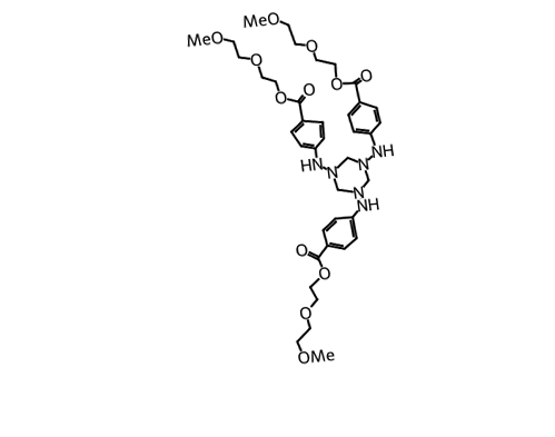 COCCOCCOC(=O)c1ccc(NN2CN(Nc3ccc(C(=O)OCCOCCOC)cc3)CN(Nc3ccc(C(=O)OCCOCCOC)cc3)C2)cc1